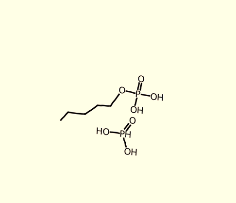 CCCCCOP(=O)(O)O.O=[PH](O)O